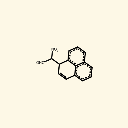 O=[C]C(C1C=Cc2cccc3cccc1c23)[N+](=O)[O-]